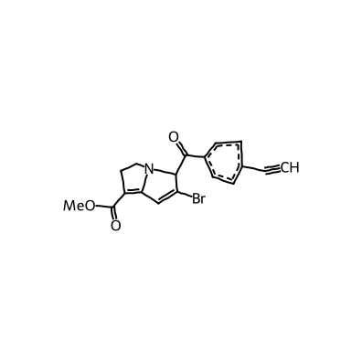 C#Cc1ccc(C(=O)C2C(Br)=CC3=C(C(=O)OC)CCN32)cc1